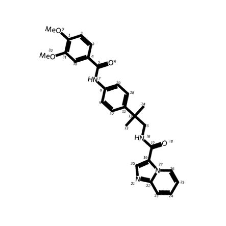 COc1ccc(C(=O)Nc2ccc(C(C)(C)CNC(=O)c3cnc4ccccn34)cc2)cc1OC